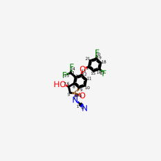 N#CN=S1(=O)CC(O)c2c1ccc(Oc1cc(F)cc(F)c1)c2C(F)F